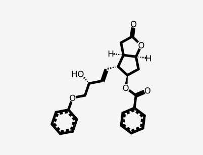 O=C1C[C@@H]2[C@@H](/C=C/[C@@H](O)COc3ccccc3)[C@H](OC(=O)c3ccccc3)C[C@@H]2O1